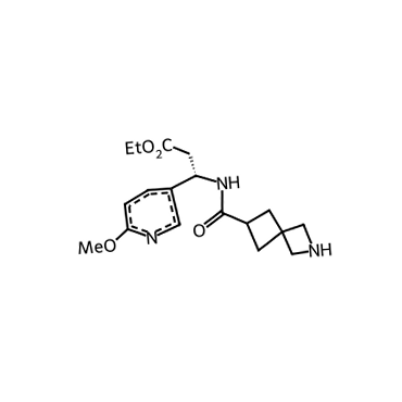 CCOC(=O)C[C@H](NC(=O)C1CC2(CNC2)C1)c1ccc(OC)nc1